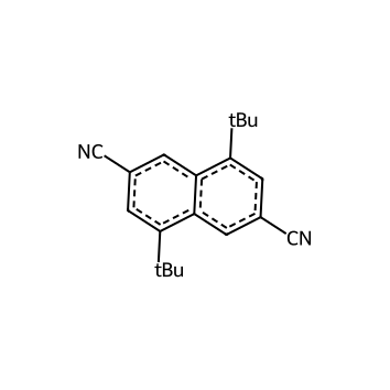 CC(C)(C)c1cc(C#N)cc2c(C(C)(C)C)cc(C#N)cc12